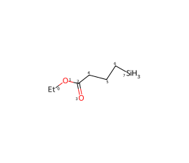 CCOC(=O)CCC[SiH3]